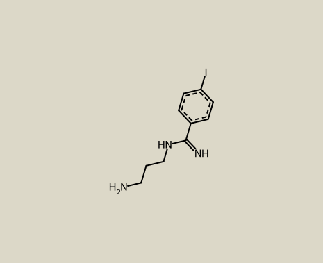 N=C(NCCCN)c1ccc(I)cc1